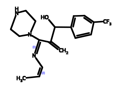 C=C(/C(=N\C=C/C)N1CCNCC1)C(O)c1ccc(C(F)(F)F)cc1